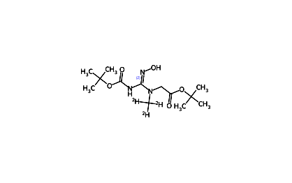 [2H]C([2H])([2H])N(CC(=O)OC(C)(C)C)/C(=N\O)NC(=O)OC(C)(C)C